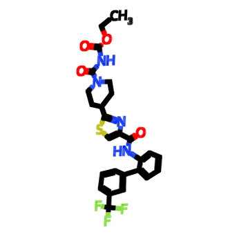 CCOC(=O)NC(=O)N1CCC(c2nc(C(=O)Nc3ccccc3-c3cccc(C(F)(F)F)c3)cs2)CC1